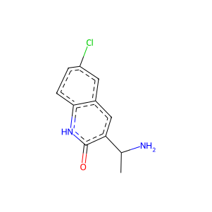 CC(N)c1cc2cc(Cl)ccc2[nH]c1=O